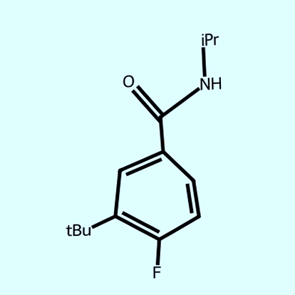 CC(C)NC(=O)c1ccc(F)c(C(C)(C)C)c1